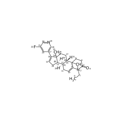 CCN1C(=O)CCC2(C)C1=CC[C@H]1[C@H]3CC=C(c4cncc(F)c4)C3(C)CC[C@@H]12